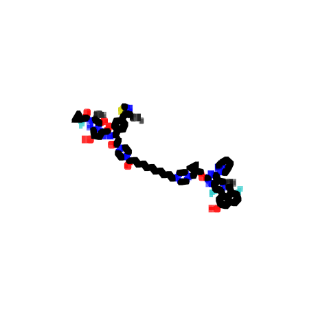 C#Cc1c(F)ccc2cc(O)cc(-c3ncc4c(N5CC6CCC(C5)N6)nc(OCC5(CN6CCN(CCCCCCCCCCC(=O)N7CCN(C(=O)C[C@H](NC(=O)C8C[C@@H](O)CN8C(=O)[C@@H](NC(=O)C8(F)CC8)C(C)(C)C)c8ccc(-c9scnc9C)cc8)CC7)CC6)CC5)nc4c3F)c12